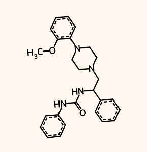 COc1ccccc1N1CCN(CC(NC(=O)Nc2ccccc2)c2ccccc2)CC1